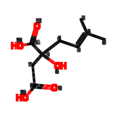 CC(C)=CCC(O)(CC(=O)O)C(=O)O